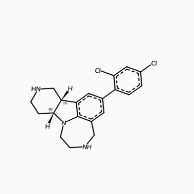 Clc1ccc(-c2cc3c4c(c2)[C@H]2CNCC[C@H]2N4CCNC3)c(Cl)c1